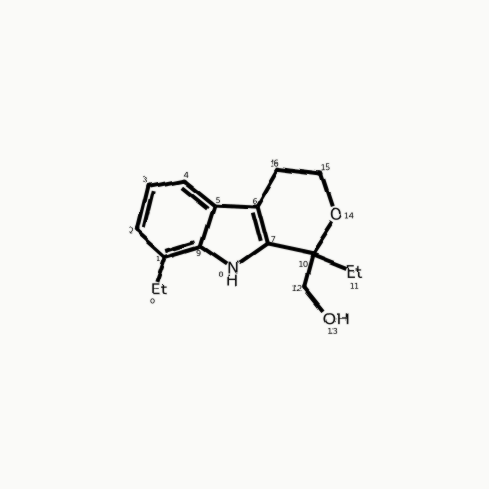 CCc1cccc2c3c([nH]c12)C(CC)(CO)OCC3